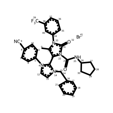 Cc1c(-c2n(-c3ccc(C#N)cc3)cc[n+]2Cc2ccccc2)n(C(=O)NC2CCCC2)c(=O)n1-c1cccc(C(F)(F)F)c1.[Br-]